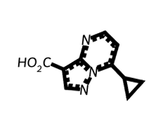 O=C(O)c1cnn2c(C3CC3)ccnc12